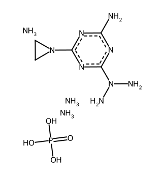 N.N.N.Nc1nc(N(N)N)nc(N2CC2)n1.O=P(O)(O)O